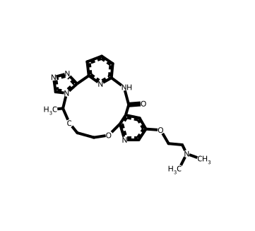 CC1CCCOc2ncc(OCCN(C)C)cc2C(=O)Nc2cccc(n2)-c2nncn21